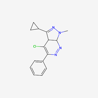 CN1N=C(C2CC2)C2C(Cl)=C(c3ccccc3)N=NC21